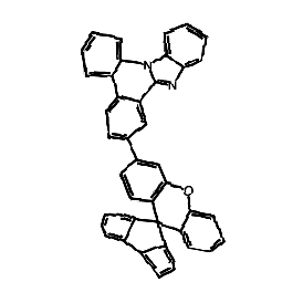 c1ccc2c(c1)Oc1cc(-c3ccc4c5ccccc5n5c6ccccc6nc5c4c3)ccc1C21c2ccccc2-c2ccccc21